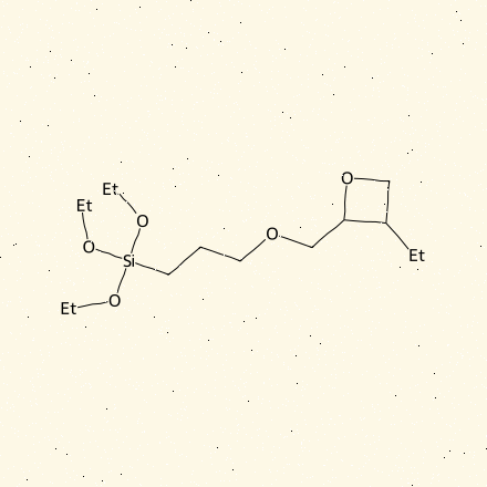 CCO[Si](CCCOCC1OCC1CC)(OCC)OCC